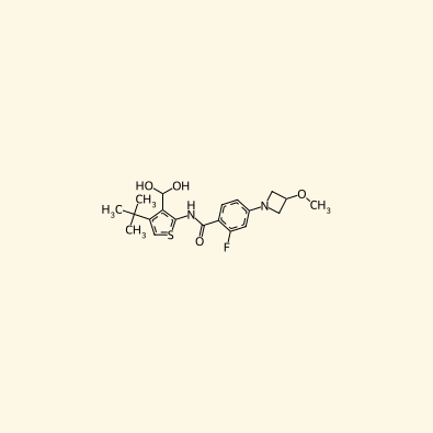 COC1CN(c2ccc(C(=O)Nc3scc(C(C)(C)C)c3C(O)O)c(F)c2)C1